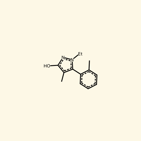 CCn1nc(O)c(C)c1-c1ccccc1C